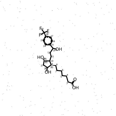 O=C(O)CCCCCC[C@@H]1C(CCC(O)c2ccc(C(F)(F)F)cc2)[C@H](O)C[C@@H]1O